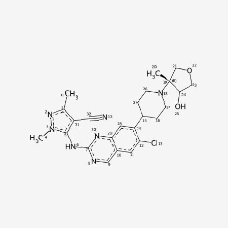 Cc1nn(C)c(Nc2ncc3cc(Cl)c(C4CCN([C@]5(C)COCC5O)CC4)cc3n2)c1C#N